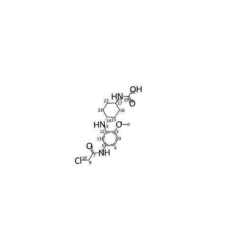 COc1ccc(NC(=O)CCl)cc1N[C@H]1CC[C@H](NC(=O)O)CC1